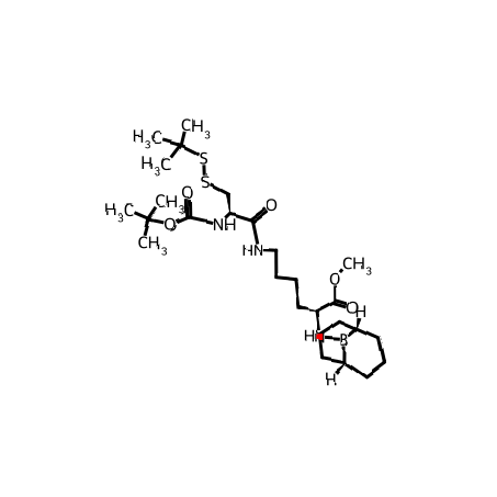 COC(=O)[C@H](CCCCNC(=O)[C@H](CSSC(C)(C)C)NC(=O)OC(C)(C)C)NB1[C@H]2CCC[C@@H]1CCC2